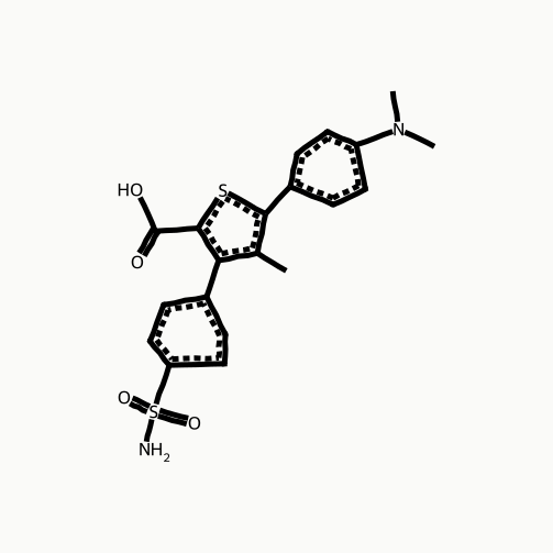 Cc1c(-c2ccc(N(C)C)cc2)sc(C(=O)O)c1-c1ccc(S(N)(=O)=O)cc1